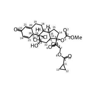 COC(=O)O[C@]1(C(=O)COC(=O)C2CC2)CC[C@H]2[C@@H]3CCC4=CC(=O)C=C[C@]4(C)[C@@]3(Cl)C(O)C[C@@]21C